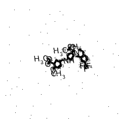 COC(=O)c1cc(CN[C@@H]2CC[C@@](C(=O)N3CCc4ccc(C(F)(F)F)cc4C3)(C(C)C)C2)ccc1OC